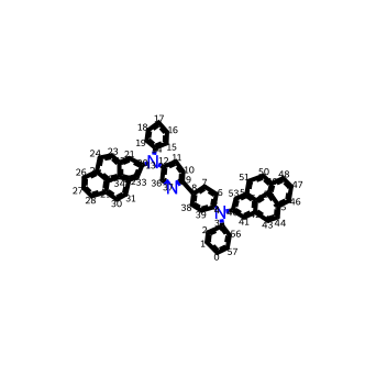 c1ccc(N(c2ccc(-c3ccc(N(c4ccccc4)c4cc5ccc6cccc7ccc(c4)c5c67)cn3)cc2)c2cc3ccc4cccc5ccc(c2)c3c45)cc1